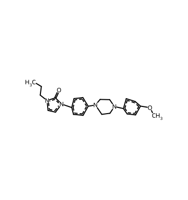 CCCn1ccn(-c2ccc(N3CCN(c4ccc(OC)cc4)CC3)cc2)c1=O